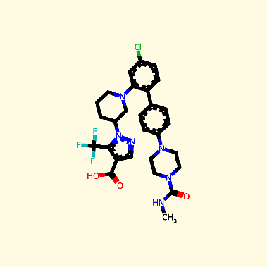 CNC(=O)N1CCN(c2ccc(-c3ccc(Cl)cc3N3CCCC(n4ncc(C(=O)O)c4C(F)(F)F)C3)cc2)CC1